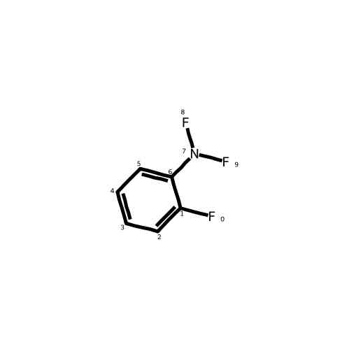 Fc1ccccc1N(F)F